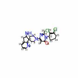 Cc1c(N2CCC3(CC2)c2ncccc2C[C@H]3N)nc(C)n(C2CCCC(Cl)=C2Cl)c1=O